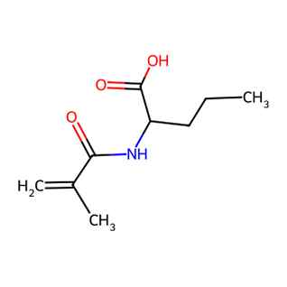 C=C(C)C(=O)NC(CCC)C(=O)O